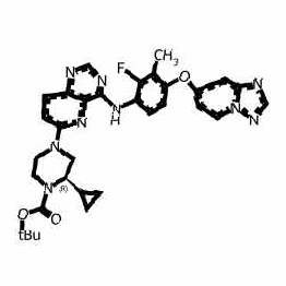 Cc1c(Oc2ccn3ncnc3c2)ccc(Nc2ncnc3ccc(N4CCN(C(=O)OC(C)(C)C)[C@H](C5CC5)C4)nc23)c1F